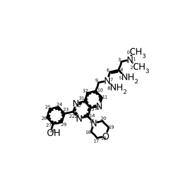 CN(C)C/C(N)=C/N(N)Cc1cnc2c(N3CCOCC3)nc(-c3cccc(O)c3)nc2c1